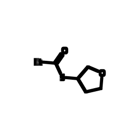 CCC(=O)SC1CCOC1